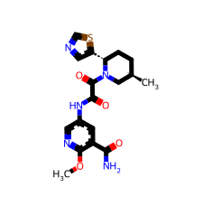 COc1ncc(NC(=O)C(=O)N2C[C@H](C)CC[C@H]2c2cncs2)cc1C(N)=O